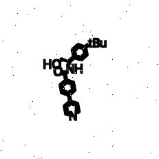 CC(C)(C)c1ccc([C@H](CO)NC(=O)c2ccc(-c3ccncc3)cc2)cc1